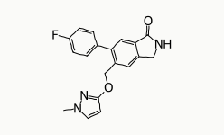 Cn1ccc(OCc2cc3c(cc2-c2ccc(F)cc2)C(=O)NC3)n1